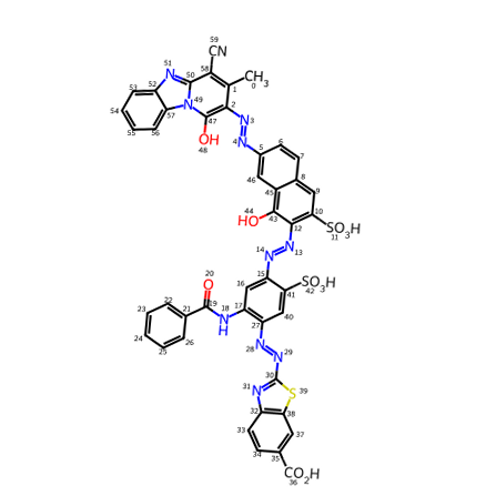 Cc1c(N=Nc2ccc3cc(S(=O)(=O)O)c(N=Nc4cc(NC(=O)c5ccccc5)c(N=Nc5nc6ccc(C(=O)O)cc6s5)cc4S(=O)(=O)O)c(O)c3c2)c(O)n2c(nc3ccccc32)c1C#N